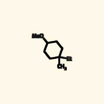 CCC1(C)CCC(OC)CC1